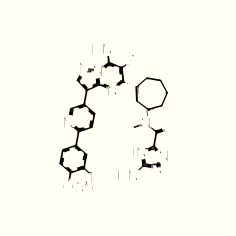 COc1ccc(-c2ccc(-c3cnn4c(N)c(C(C)=O)c([C@H]5CCCC[C@@H](N(C)C(=O)c6nnc(N)[nH]6)C5)nc34)cn2)cc1F